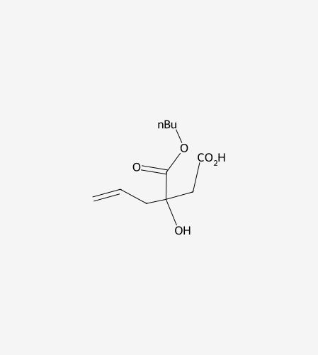 C=CCC(O)(CC(=O)O)C(=O)OCCCC